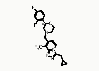 Fc1ccc([C@@H]2CN(Cc3ccn4c(CC5CC5)nnc4c3C(F)(F)F)CCO2)c(F)c1